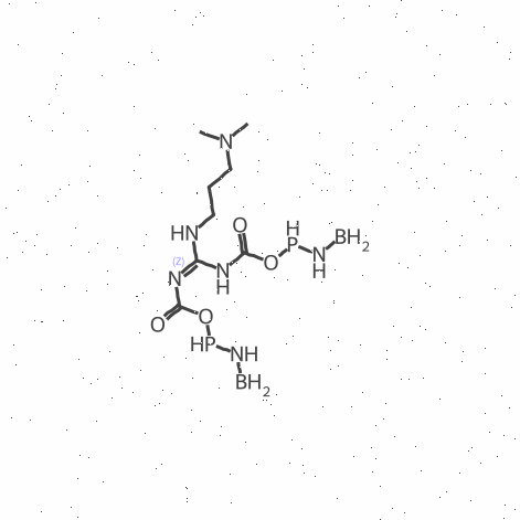 BNPOC(=O)/N=C(/NCCCN(C)C)NC(=O)OPNB